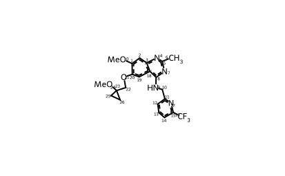 COc1cc2nc(C)nc(NCc3cccc(C(F)(F)F)n3)c2cc1OCC1(OC)CC1